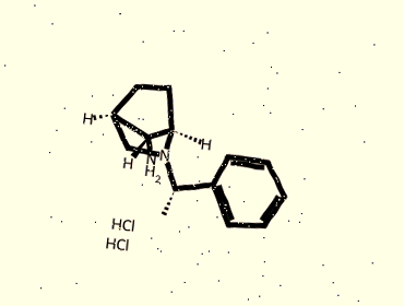 C[C@@H](c1ccccc1)N1C[C@H]2CC[C@@H]1[C@@H]2N.Cl.Cl